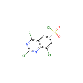 O=S(=O)(Cl)c1cc(Cl)c2nc(Cl)nc(Cl)c2c1